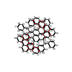 c1ccc(C(c2c3ccccc3cc3ccccc23)c2cc3c(N(c4ccccc4)c4ccccc4)cc(N(c4ccccc4)c4ccccc4)c4c(N(c5ccccc5)c5c6ccccc6cc6ccccc56)cc5c(N(c6ccccc6)c6ccccc6)cc(N(c6ccccc6)c6ccccc6)c2c5c34)cc1